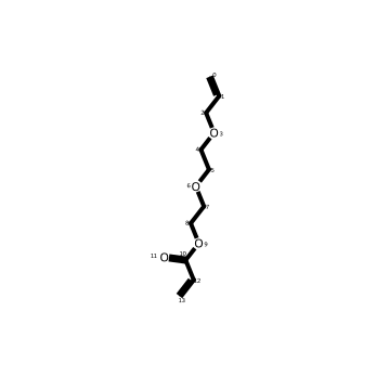 C=CCOCCOCCOC(=O)C=C